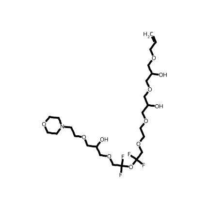 C=CCOCC(O)COCC(O)COCCOCC(F)(F)OC(F)(F)COCC(O)COCCN1CCOCC1